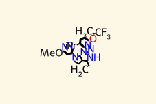 C=CC(Nc1nc2c(C(C)C)ccc(O[C@@H](C)C(F)(F)F)n2n1)C1CCN(c2cnnc(OC)c2)C1